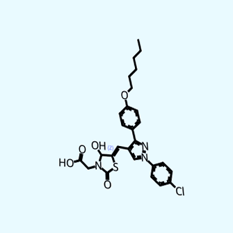 CCCCCCOc1ccc(-c2nn(-c3ccc(Cl)cc3)cc2/C=C2\SC(=O)N(CC(=O)O)C2O)cc1